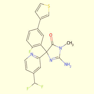 CN1C(=O)C(c2cc(C(F)F)ccn2)(c2cc(-c3ccsc3)ccc2F)N=C1N